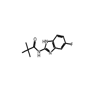 CC(C)(C)C(=O)Nc1nc2cc(F)ccc2[nH]1